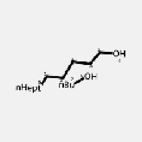 CCCCCCCCCCCCO.CCCCO